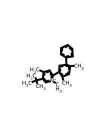 Cc1cc(C)c(-c2cc(C)c(C(C)(C)C)c[n+]2C)cc1-c1ccccc1